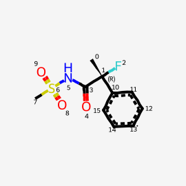 C[C@](F)(C(=O)NS(C)(=O)=O)c1cc[c]cc1